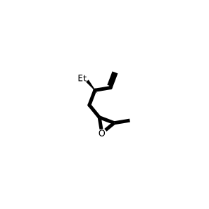 C=C[C@H](CC)CC1OC1C